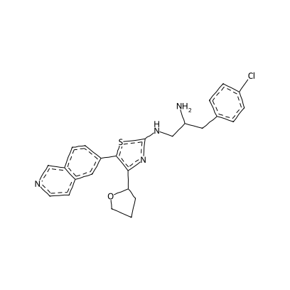 NC(CNc1nc(C2CCCO2)c(-c2ccc3cnccc3c2)s1)Cc1ccc(Cl)cc1